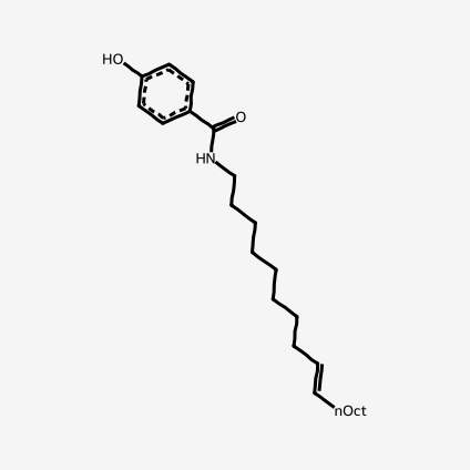 CCCCCCCCC=CCCCCCCCCNC(=O)c1ccc(O)cc1